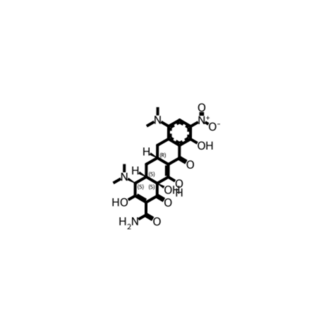 CN(C)c1cc([N+](=O)[O-])c(O)c2c1C[C@H]1C[C@H]3[C@H](N(C)C)C(O)=C(C(N)=O)C(=O)[C@@]3(O)C(O)=C1C2=O